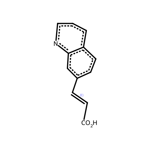 O=C(O)/C=C/c1ccc2cccnc2c1